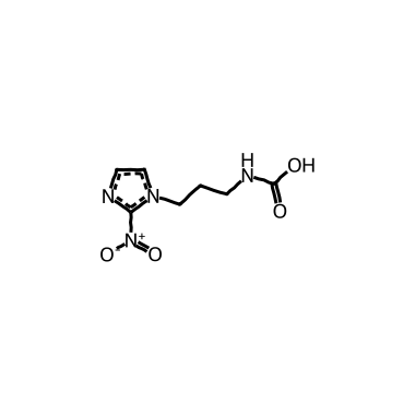 O=C(O)NCCCn1ccnc1[N+](=O)[O-]